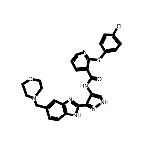 O=C(Nc1c[nH]nc1-c1nc2cc(CN3CCOCC3)ccc2[nH]1)c1cccnc1Sc1ccc(Cl)cc1